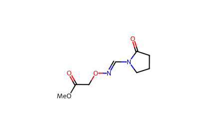 COC(=O)CON=CN1CCCC1=O